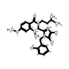 COc1ccc(C(=O)N(CCC(C)C)Cc2nc(Cl)c(Cl)n2Cc2ccccc2Cl)c(OC)c1